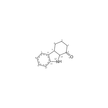 O=C1CCCC2c3ccccc3NC12